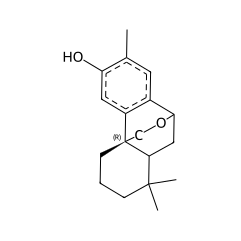 Cc1cc2c(cc1O)[C@@]13CCCC(C)(C)C1CC2OC3